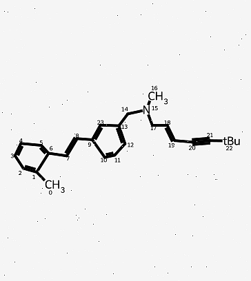 Cc1ccccc1C=Cc1cccc(CN(C)CC=CC#CC(C)(C)C)c1